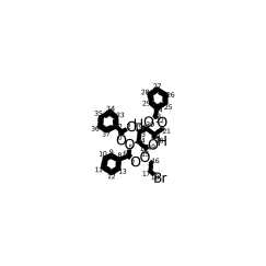 O=C(O[C@@H]1[C@@H](OC(=O)c2ccccc2)[C@H](OCCBr)O[C@@H]2COC(c3ccccc3)O[C@@H]12)c1ccccc1